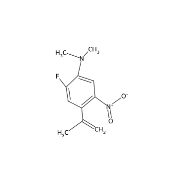 C=C(C)c1cc(F)c(N(C)C)cc1[N+](=O)[O-]